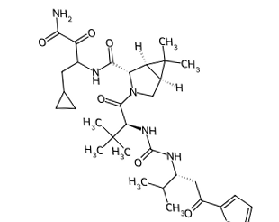 CC(C)[C@@H](CC(=O)c1cccs1)NC(=O)N[C@H](C(=O)N1C[C@H]2[C@@H]([C@H]1C(=O)NC(CC1CC1)C(=O)C(N)=O)C2(C)C)C(C)(C)C